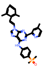 Cc1ccnc(-c2nc(Nc3ccc(P(C)(C)=O)cc3)c3ncn(C=Cc4c(C)cccc4C)c3n2)c1